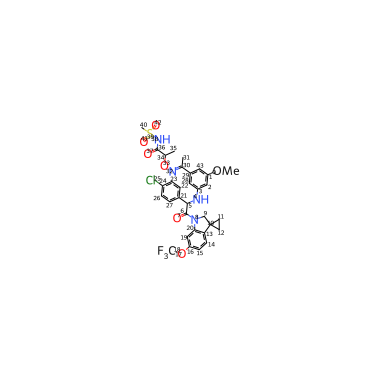 COc1cc(NC(C(=O)N2CC3(CC3)c3ccc(OC(F)(F)F)cc32)c2ccc(Cl)cc2)cc(C(C)=NOC(C)C(=O)NS(C)(=O)=O)c1